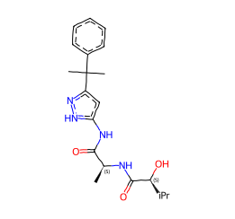 CC(C)[C@H](O)C(=O)N[C@@H](C)C(=O)Nc1cc(C(C)(C)c2ccccc2)n[nH]1